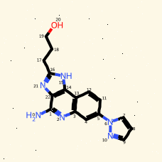 Nc1nc2cc(-n3cccn3)ccc2c2[nH]c(CCCO)nc12